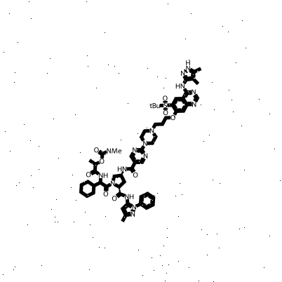 CNC(=O)OC(C)C(=O)NC(C(=O)N1C[C@@H](NC(=O)c2cnc(N3CCN(CCCOc4cc5ncnc(Nc6n[nH]c(C)c6C)c5cc4S(=O)(=O)C(C)(C)C)CC3)nc2)C[C@H]1C(=O)Nc1cc(C)nn1-c1ccccc1)C1CCCCC1